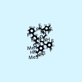 CNc1c(-n2c(C(Cc3cc(F)cc(F)c3)NC(=O)Cn3nc(C(F)F)c4c3C(F)(F)C(C)C4)nc3cc(-c4ccccc4F)cnc3c2=O)ccc(Cl)c1C(=N)NSC